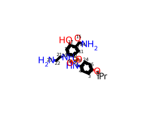 CC(C)Oc1ccc(NS(=O)(=O)c2cc(C(N)=O)c(O)cc2NCCN)cc1